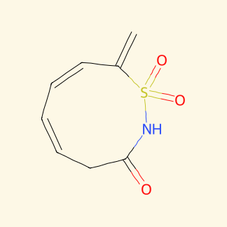 C=C1/C=C\C=C/CC(=O)NS1(=O)=O